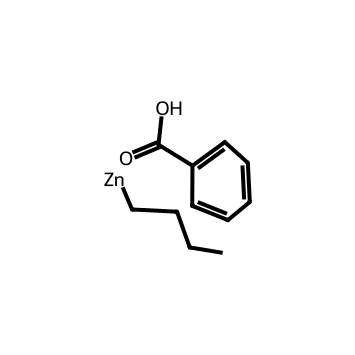 CCC[CH2][Zn].O=C(O)c1ccccc1